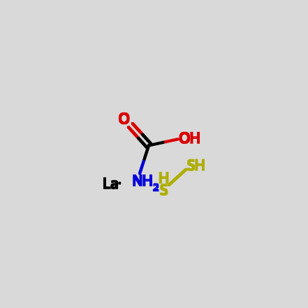 NC(=O)O.SS.[La]